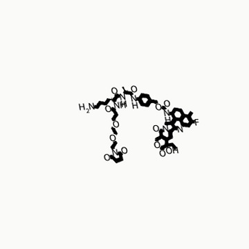 CC[C@@]1(O)C(=O)OCc2c1cc1n(c2=O)Cc2c-1nc1cc(F)c(C)c3c1c2C(NC(=O)OCc1ccc(NC(=O)[C@H](C)NC(=O)[C@H](CCCCN)NC(=O)CCOCCOCCN2C(=O)C=CC2=O)cc1)CC3